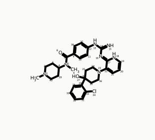 CN1CCC(N(C)C(=O)c2ccc(NC(=N)/N=c3\[nH]cccc3N3CCC(O)(c4ccccc4Cl)CC3)cc2)CC1